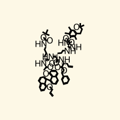 C=CCOc1ccc2ccccc2c1-c1c(OCC(=O)N[C@H](CCCCNC(=O)OC(C)(C)C)C(=O)N[C@H](CCCNC(=N)NS(=O)(=O)c2c(C)c(C)c3c(c2C)CCC(C)(C)O3)C(=O)N[C@@H](CC=C)C(=O)OCc2ccccc2)ccc2ccccc12